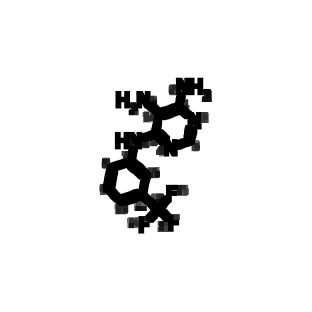 Nc1ncnc(Nc2cccc(C(F)(F)F)c2)c1N